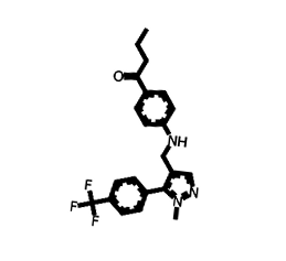 CCCC(=O)c1ccc(NCc2cnn(C)c2-c2ccc(C(F)(F)F)cc2)cc1